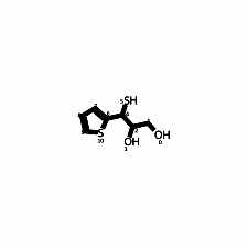 OCC(O)C(S)c1cccs1